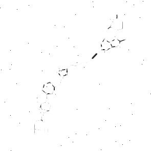 Cn1c(=O)n([C@@H]2CCC(=O)NC2=O)c2ccc(C#CCCCCc3cn(Cc4cccc(N5C[C@H]6C[C@@H]5CN6C(=O)OC(C)(C)C)n4)nn3)cc21